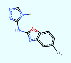 Cn1cnnc1Nc1nc2cc(C(F)(F)F)ccc2o1